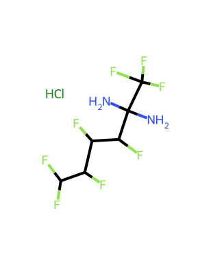 Cl.NC(N)(C(F)C(F)C(F)C(F)F)C(F)(F)F